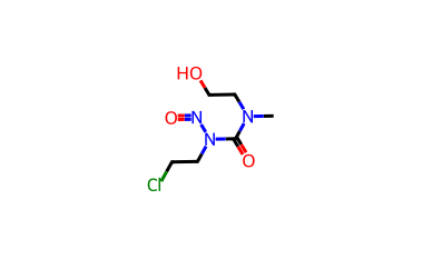 CN(CCO)C(=O)N(CCCl)N=O